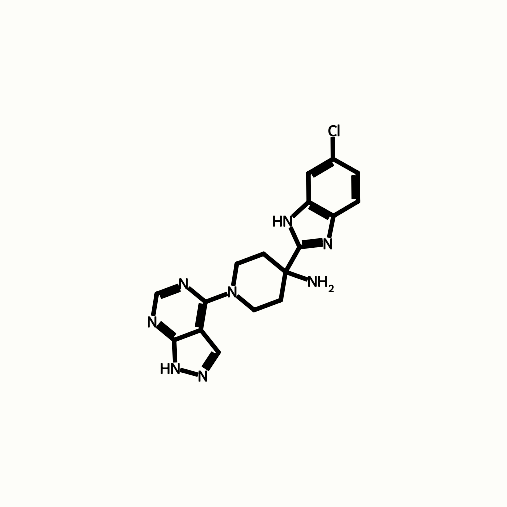 NC1(c2nc3ccc(Cl)cc3[nH]2)CCN(c2ncnc3[nH]ncc23)CC1